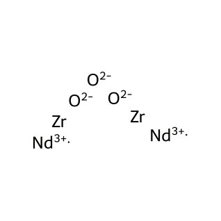 [Nd+3].[Nd+3].[O-2].[O-2].[O-2].[Zr].[Zr]